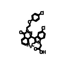 Cc1c(-c2nn(CCOc3ccc(Cl)cc3)c(=O)c3ccccc23)c2cc(Cl)ccc2n1CC(=O)O